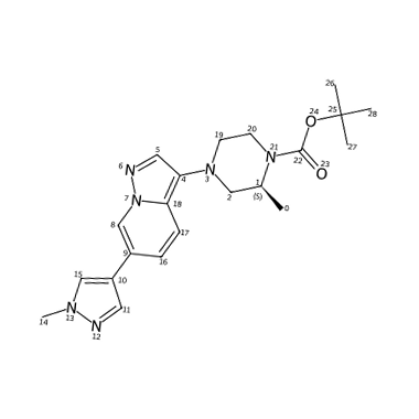 C[C@H]1CN(c2cnn3cc(-c4cnn(C)c4)ccc23)CCN1C(=O)OC(C)(C)C